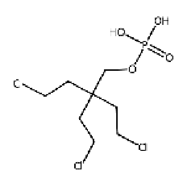 O=P(O)(O)OCC(CCCl)(CCCl)CCCl